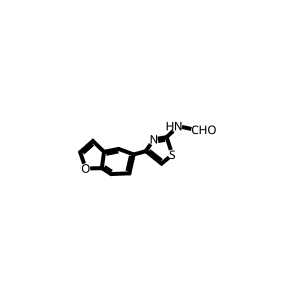 O=CNc1nc(-c2ccc3occc3c2)cs1